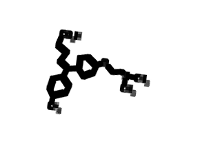 CN(C)CCOc1ccc(/C(=C\C=C\C(=O)O)c2ccc(C(F)(F)F)cc2)cc1